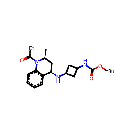 CCC(=O)N1c2ccccc2[C@H](NC2CC(NC(=O)OC(C)(C)C)C2)C[C@@H]1C